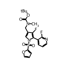 CN(Cc1cn(S(=O)(=O)c2ccco2)c(-c2cccnc2F)c1F)C(=O)OC(C)(C)C